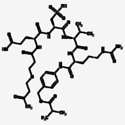 CC(=O)CCOCCC(=O)N[C@@H](CCC(=O)O)C(=O)N[C@@H](CS(=O)(=O)O)C(=O)N[C@H](C(=O)N[C@@H](CCCNC(N)=O)C(=O)Nc1ccc(COC(=O)C(C)C)cc1)C(C)C